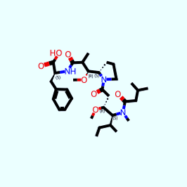 CCC(C)[C@@H]([C@@H](CC(=O)N1CCC[C@H]1[C@H](OC)C(C)C(=O)N[C@@H](Cc1ccccc1)C(=O)O)OC)N(C)C(=O)CC(C)C